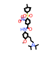 COc1ccc(NC(=O)c2ccc(S(=O)(=O)c3ccc(C)cc3)c([N+](=O)[O-])c2)cc1CCCN(C(C)C)C(C)C